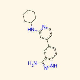 Nc1n[nH]c2ccc(-c3ccnc(NC4CCCCC4)c3)cc12